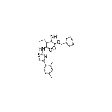 CCC(C(=N)C(=O)OCc1ccccc1)C(=O)Nc1nc(-c2ccc(C)cc2C)cs1